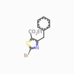 CCOC(=O)c1sc(Br)nc1Cc1ccccc1